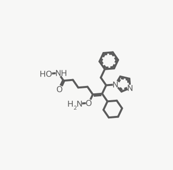 NO/C(CCCC(=O)NO)=C(\C1CCCCC1)C(Cc1ccccc1)n1ccnc1